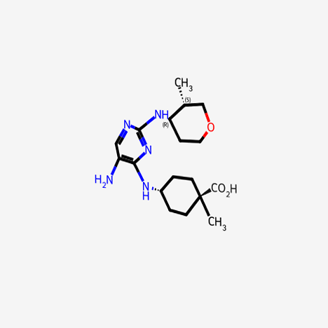 C[C@@H]1COCC[C@H]1Nc1ncc(N)c(N[C@H]2CC[C@](C)(C(=O)O)CC2)n1